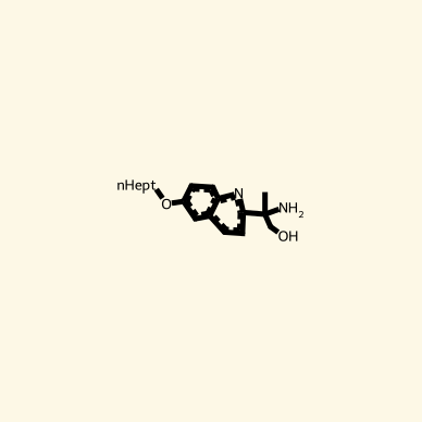 CCCCCCCOc1ccc2nc(C(C)(N)CO)ccc2c1